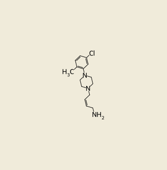 Cc1ccc(Cl)cc1N1CCN(C/C=C\CN)CC1